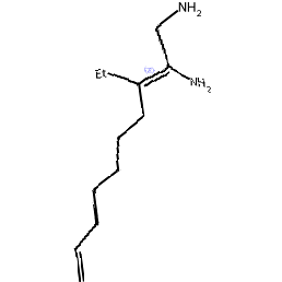 C=CCCCCC/C(CC)=C(\N)CN